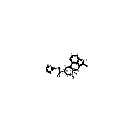 Cc1[nH]c2cccc3c2c1C[C@@H]1C3C[C@@H](C(=O)Nc2nccs2)CN1C